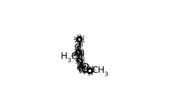 Cc1ccc(CN2CC[C@@H](N3CCN(c4ncc(OCc5ccccc5)cc4C)CC3)C2=O)cc1